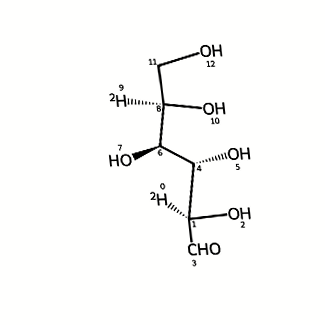 [2H][C@](O)(C=O)[C@@H](O)[C@@H](O)[C@]([2H])(O)CO